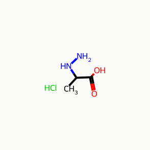 CC(NN)C(=O)O.Cl